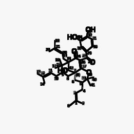 CC(C)=CCC1C[C@@]23CC(CC=C(C)C)C(C)(C)C(CC=C(C)C)(C(=O)C(C(=O)c4ccc(O)c(O)c4)=C2OC1(C)C)C3O